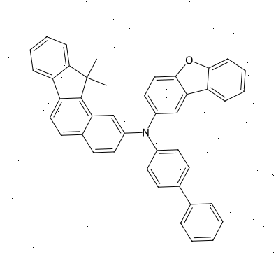 CC1(C)c2ccccc2-c2ccc3ccc(N(c4ccc(-c5ccccc5)cc4)c4ccc5oc6ccccc6c5c4)cc3c21